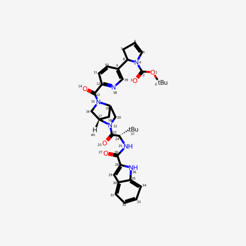 CC(C)(C)OC(=O)N1C=CCC1c1ccc(C(=O)N2C[C@@H]3CC2CN3C(=O)[C@@H](NC(=O)c2cc3ccccc3[nH]2)C(C)(C)C)nc1